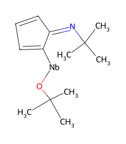 CC(C)(C)N=C1C=CC=[C]1[Nb][O]C(C)(C)C